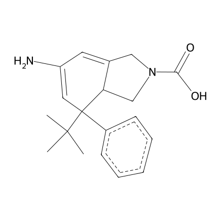 CC(C)(C)C1(c2ccccc2)C=C(N)C=C2CN(C(=O)O)CC21